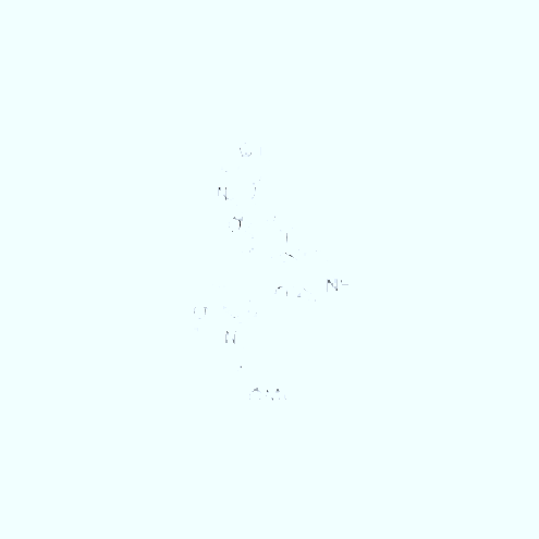 COCCCN1CCOc2ccc(COC3CNCC[C@@H]3c3ccc(Oc4ccc(C)cn4)cc3)cc21